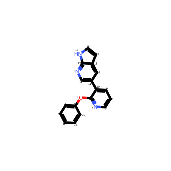 c1ccc(Oc2ncccc2-c2cnc3[nH]ccc3c2)cc1